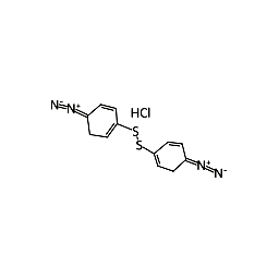 Cl.[N-]=[N+]=C1C=CC(SSC2=CCC(=[N+]=[N-])C=C2)=CC1